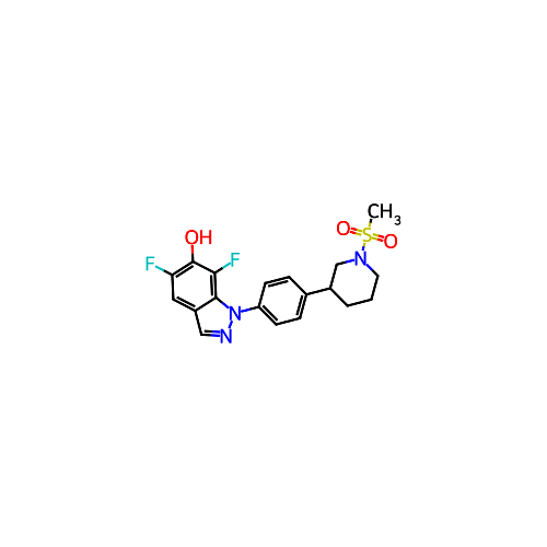 CS(=O)(=O)N1CCCC(c2ccc(-n3ncc4cc(F)c(O)c(F)c43)cc2)C1